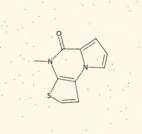 Cn1c(=O)c2cccn2c2ccsc21